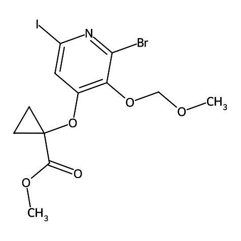 COCOc1c(OC2(C(=O)OC)CC2)cc(I)nc1Br